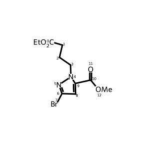 CCOC(=O)CCCn1nc(Br)cc1C(=O)OC